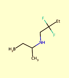 BCC(C)NCC(F)(F)CC